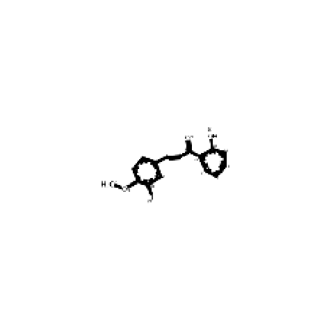 COc1ccc(/C=C/C(=O)c2ccccc2O)cc1I